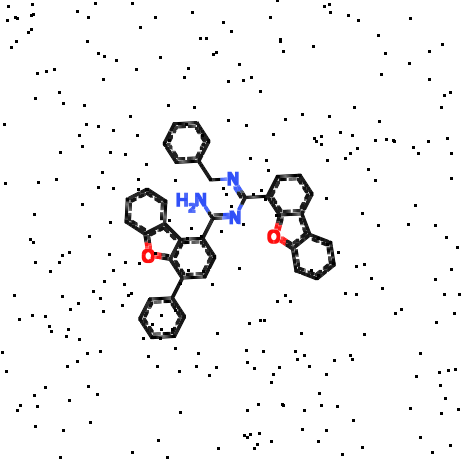 N/C(=N\C(=N/Cc1ccccc1)c1cccc2c1oc1ccccc12)c1ccc(-c2ccccc2)c2oc3ccccc3c12